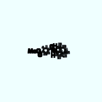 COC(=O)c1ccc(C(=O)NNc2cccc3c2C(C)(C)CCC3(C)C)cc1